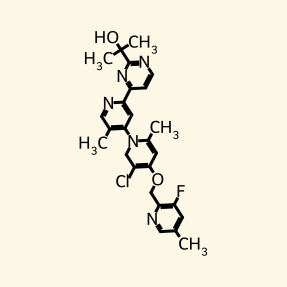 CC1=CC(OCc2ncc(C)cc2F)=C(Cl)CN1c1cc(-c2ccnc(C(C)(C)O)n2)ncc1C